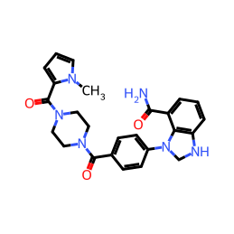 Cn1cccc1C(=O)N1CCN(C(=O)c2ccc(N3CNc4cccc(C(N)=O)c43)cc2)CC1